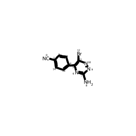 N#Cc1ccc(-c2nc(N)nnc2Br)cc1